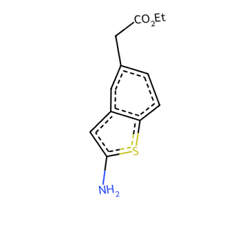 CCOC(=O)Cc1ccc2sc(N)cc2c1